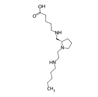 CCCCCNCCN1CCC[C@@H]1CNCCCCC(=O)O